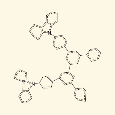 C1=CC(n2c3ccccc3c3ccccc32)CC=C1c1cc(-c2ccccc2)cc(-c2cc(-c3ccccc3)cc(-c3ccc(-n4c5ccccc5c5ccccc54)cc3)c2)c1